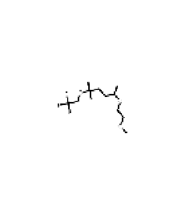 COCCOC(C)CCC(C)(C)OCC(F)(F)F